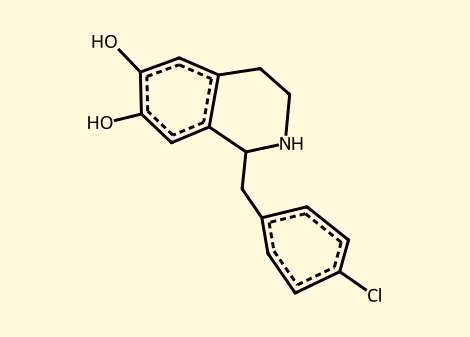 Oc1cc2c(cc1O)C(Cc1ccc(Cl)cc1)NCC2